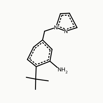 CC(C)(C)c1ccc(Cn2cccn2)cc1N